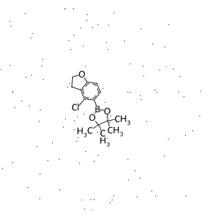 CC1(C)OB(c2ccc3c(c2Cl)CCO3)OC1(C)C